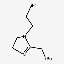 CC(C)CCN1CCN=C1CC(C)(C)C